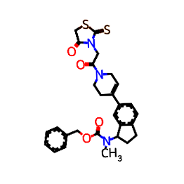 CN(C(=O)OCc1ccccc1)C1CCc2ccc(C3=CCN(C(=O)CN4C(=O)CSC4=S)CC3)cc21